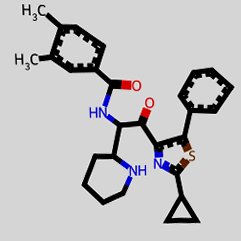 Cc1ccc(C(=O)NC(C(=O)c2nc(C3CC3)sc2-c2ccccc2)C2CCCCN2)cc1C